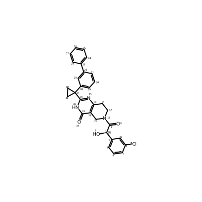 O=C([C@H](O)c1cccc(Cl)c1)N1CCc2nc(C3(c4cccc(-c5ccccc5)c4)CC3)[nH]c(=O)c2C1